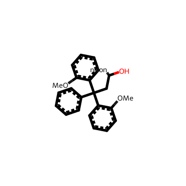 CCCCCCCCCC(O)CC(c1ccccc1)(c1ccccc1OC)c1ccccc1OC